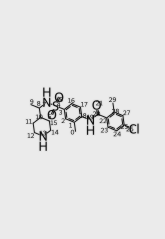 Cc1cc(S(=O)(=O)NC(C)C2CCNCC2)ccc1NC(=O)c1ccc(Cl)cc1C